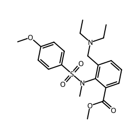 CCN(CC)Cc1cccc(C(=O)OC)c1N(C)S(=O)(=O)c1ccc(OC)cc1